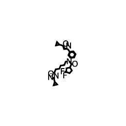 O=C(C1CCC(F)(F)C1)N(CCCCCc1nc(C2CC2)no1)c1cccc(-c2cc(C3CC3)on2)c1